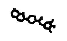 Cc1cc(CC(=O)N2CCN(C3=NN4C=NCC=C4C=C3)CC2)cc(F)c1F